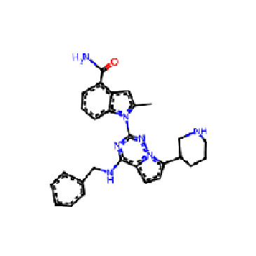 Cc1cc2c(C(N)=O)cccc2n1-c1nc(NCc2ccccc2)c2ccc(C3CCCNC3)n2n1